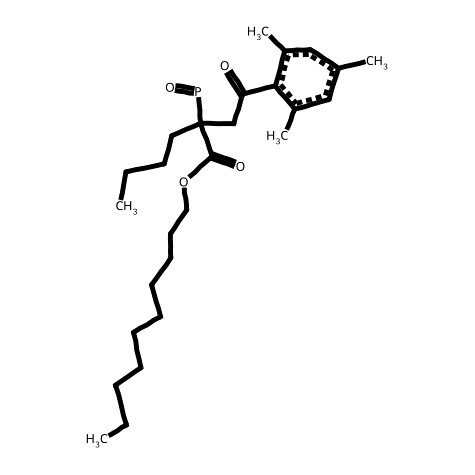 CCCCCCCCCCOC(=O)C(CCCC)(CC(=O)c1c(C)cc(C)cc1C)P=O